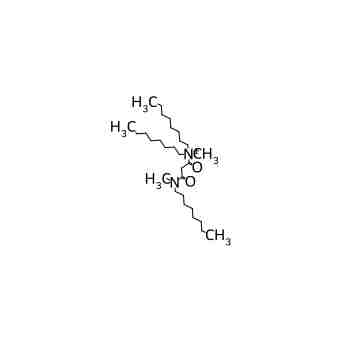 CCCCCCCCN(C)C(=O)CC(=O)[N+](C)(CCCCCCCC)CCCCCCCC